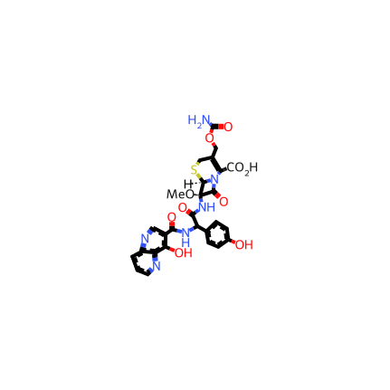 CO[C@@]1(NC(=O)C(NC(=O)c2cnc3cccnc3c2O)c2ccc(O)cc2)C(=O)N2C(C(=O)O)=C(COC(N)=O)CS[C@@H]21